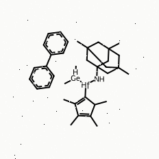 CC1=C(C)C(C)[C]([Hf]([NH]C23CC4(C)CC(C)(CC(C)(C4)C2)C3)[GeH]([CH3])[CH3])=C1C.c1ccc(-c2ccccc2)cc1